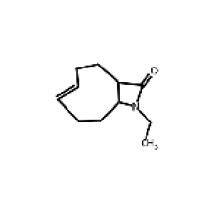 CCN1C(=O)C2CC/C=C/CCC21